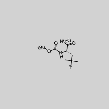 COC(=O)[C@H](CC(C)(C)F)NC(=O)OC(C)(C)C